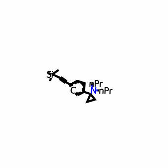 CCCN(CCC)C1(c2ccc(C#C[Si](C)(C)C)cc2)CC1